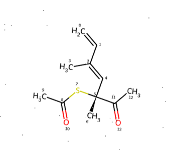 C=C/C(C)=C/[C@@](C)(SC(C)=O)C(C)=O